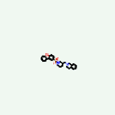 O=S(=O)(c1ccc2oc3ccccc3c2c1)N1CCCC(CN2CCc3ccccc3C2)C1